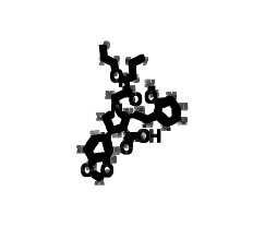 CCCON(CCC)C(=O)CN1C[C@H](c2ccc3c(c2)OCO3)[C@@H](C(=O)O)[C@@H]1CCc1ccccc1OC